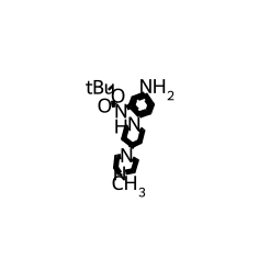 CN1CCN(C2CCN(c3ccc(N)cc3NC(=O)OC(C)(C)C)CC2)CC1